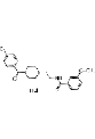 COc1cccc(C(=O)NCCN2CCC(C(=O)c3ccc(Cl)cc3)CC2)c1.Cl